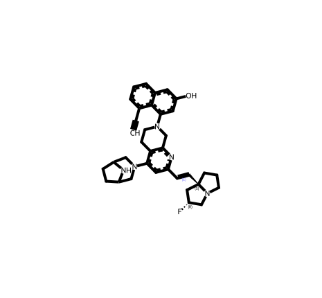 C#Cc1cccc2cc(O)cc(N3CCc4c(N5CC6CCC(C5)N6)cc(/C=C/[C@@]56CCCN5C[C@H](F)C6)nc4C3)c12